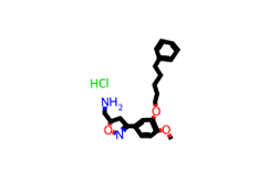 COc1ccc(C2=NOC(CN)C2)cc1OCCCCCc1ccccc1.Cl